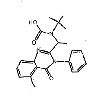 Cc1cccc2nc(C(C)N(C(=O)O)C(C)(C)C)n(-c3ccccc3)c(=O)c12